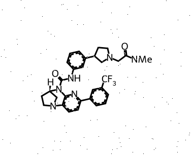 CNC(=O)CN1CCC(c2cccc(NC(=O)N3c4nc(-c5cccc(C(F)(F)F)c5)ccc4N4CC[C@H]3C4)c2)C1